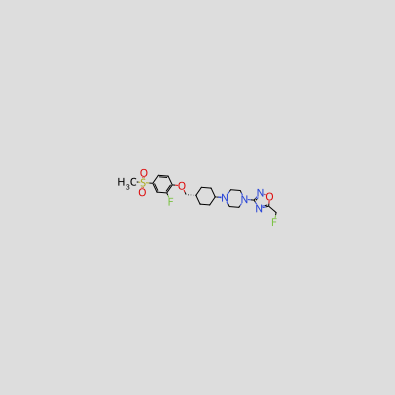 CS(=O)(=O)c1ccc(OC[C@H]2CC[C@H](N3CCN(c4noc(CF)n4)CC3)CC2)c(F)c1